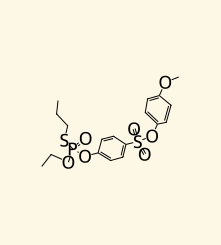 CCCSP(=O)(OCC)Oc1ccc(S(=O)(=O)Oc2ccc(OC)cc2)cc1